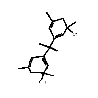 CC1=CC(C(C)(C)C2=CC(C)(O)CC(C)=C2)=CC(C)(O)C1